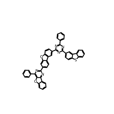 c1ccc(-c2nc(-c3ccc4oc5cc(-c6nc(-c7ccccc7)c7oc8ccccc8c7n6)ccc5c4c3)nc(-c3ccc4sc5ccccc5c4c3)n2)cc1